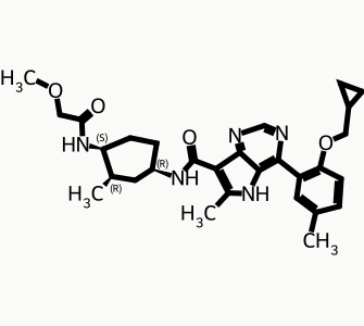 COCC(=O)N[C@H]1CC[C@@H](NC(=O)c2c(C)[nH]c3c(-c4cc(C)ccc4OCC4CC4)ncnc23)C[C@H]1C